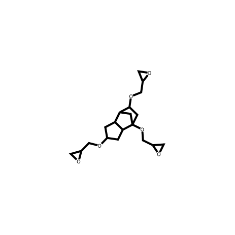 C1OC1COC1CC2C3CC(OCC4CO4)(CC3OCC3CO3)C2C1